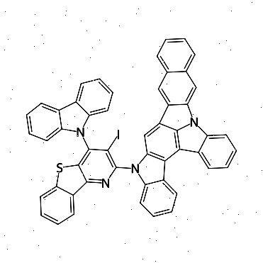 Ic1c(-n2c3ccccc3c3c4c5ccccc5n5c6cc7ccccc7cc6c(cc32)c45)nc2c(sc3ccccc32)c1-n1c2ccccc2c2ccccc21